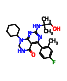 Cc1cc(F)ccc1-c1nc(NC(C)(C)CO)nc2c1C(=O)NCN2C1CCCCC1